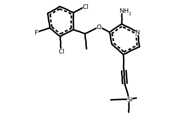 CC(Oc1cc(C#C[Si](C)(C)C)cnc1N)c1c(Cl)ccc(F)c1Cl